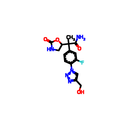 CC(C(N)=O)(c1ccc(-n2cc(CO)nn2)c(F)c1)C1CNC(=O)O1